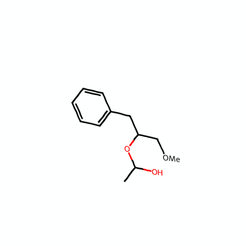 COCC(Cc1ccccc1)OC(C)O